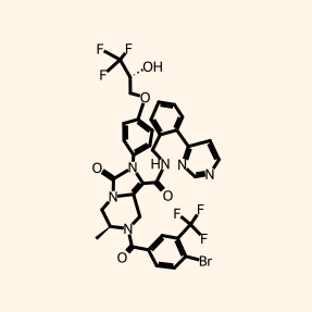 C[C@H]1Cn2c(c(C(=O)NCc3ccccc3-c3ccncn3)n(-c3ccc(OC[C@@H](O)C(F)(F)F)cc3)c2=O)CN1C(=O)c1ccc(Br)c(C(F)(F)F)c1